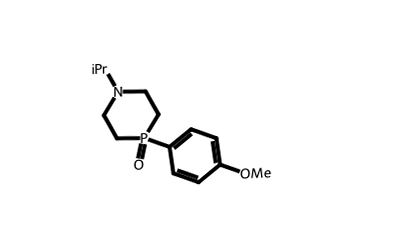 COc1ccc(P2(=O)CCN(C(C)C)CC2)cc1